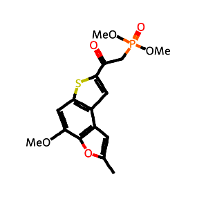 COc1cc2sc(C(=O)CP(=O)(OC)OC)cc2c2cc(C)oc12